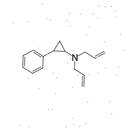 C=CCN(CC=C)C1CC1c1ccccc1